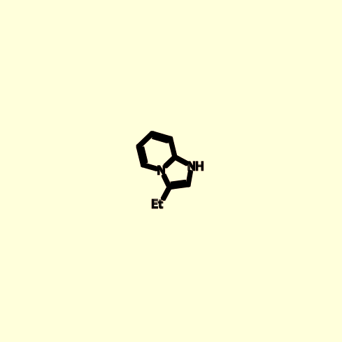 CCC1=CNC2C=CC=CN12